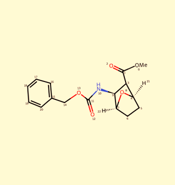 COC(=O)C1[C@H]2CC[C@H](O2)[C@H]1NC(=O)OCc1ccccc1